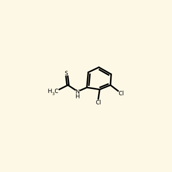 CC(=S)Nc1cccc(Cl)c1Cl